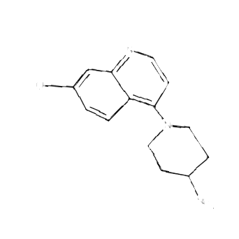 NC1CCN(c2ccnc3cc(Cl)ccc23)CC1